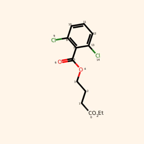 CCOC(=O)CCCOC(=O)c1c(Cl)cccc1Cl